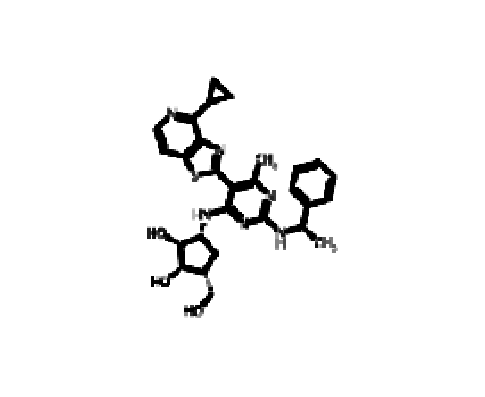 Cc1nc(N[C@H](C)c2ccccc2)nc(N[C@@H]2C[C@H](CO)[C@@H](O)[C@H]2O)c1-c1nc2c(C3CC3)nccc2s1